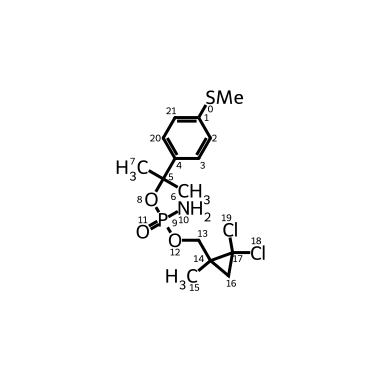 CSc1ccc(C(C)(C)OP(N)(=O)OCC2(C)CC2(Cl)Cl)cc1